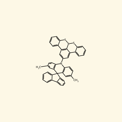 Cc1ccc2c(c1)C1(c3ccccc3-c3ccccc31)c1cc(C)ccc1N2c1cc2c3c(c1)-c1ccccc1SB3Sc1ccccc1-2